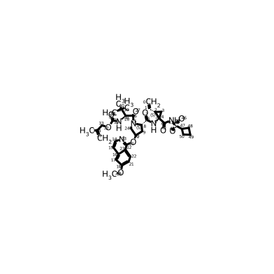 C=C[C@@H]1C[C@]1(NC(=O)[C@@H]1C[C@@H](Oc2nccc3cc(OC)ccc23)CN1C(=O)[C@@H](NC(=O)OCC(=C)C)C(C)(C)C)C(=O)NS(=O)(=O)C1CCC1